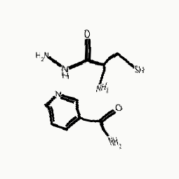 NC(=O)c1cccnc1.NNC(=O)C(N)CS